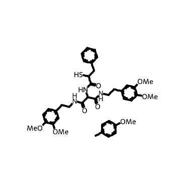 COc1ccc(C)cc1.COc1ccc(CCNC(=O)C(NC(=O)C(S)Cc2ccccc2)C(=O)NCCc2ccc(OC)c(OC)c2)cc1OC